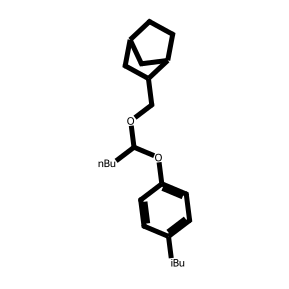 CCCCC(OCC1CC2CCC1C2)Oc1ccc(C(C)CC)cc1